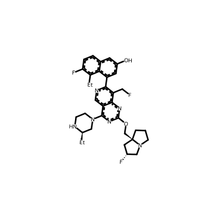 CCc1c(F)ccc2cc(O)cc(-c3ncc4c(N5CCN[C@H](CC)C5)nc(OC[C@@]56CCCN5C[C@H](F)C6)nc4c3CF)c12